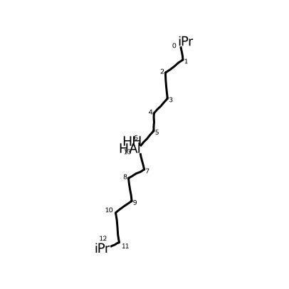 CC(C)CCCC[CH2][AlH][CH2]CCCCC(C)C.[HH]